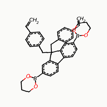 C=Cc1ccc(CC2(Cc3ccc(C=C)cc3)c3cc(B4OCCCO4)ccc3-c3ccc(B4OCCCO4)cc32)cc1